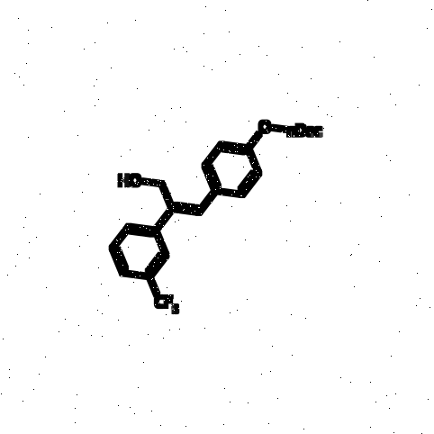 CCCCCCCCCCOc1ccc(/C=C(\CO)c2cccc(C(F)(F)F)c2)cc1